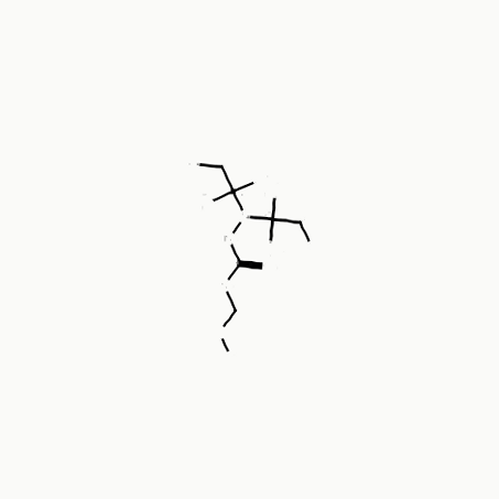 COCNC(=O)NN(C(C)(C)CO)C(C)(C)CO